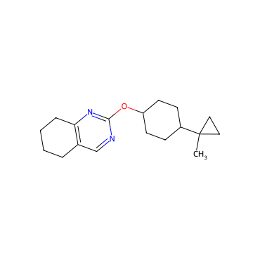 CC1(C2CCC(Oc3ncc4c(n3)CCCC4)CC2)CC1